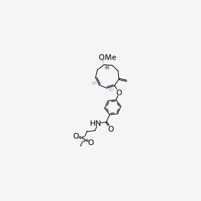 C=C1CC[C@@H](OC)C/C=C\C=C/1Oc1ccc(C(=O)NCCS(C)(=O)=O)cc1